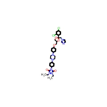 CCn1c(=O)n(-c2ccc(N3CCN(c4ccc(OCC5COC(Cn6ccnc6)(c6ccc(Cl)cc6Cl)O5)cc4)CC3)cc2)c(=O)n1CC